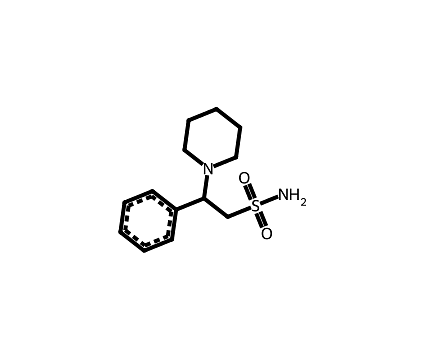 NS(=O)(=O)CC(c1ccccc1)N1CCCCC1